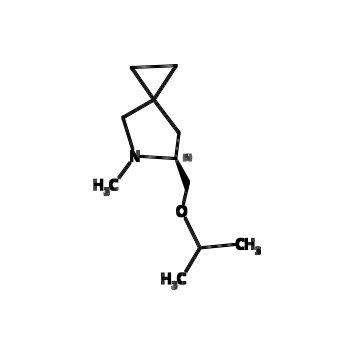 CC(C)OC[C@@H]1CC2(CC2)CN1C